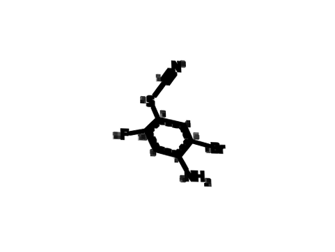 N#CSc1cc(Br)c(N)cc1F